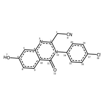 N#CCc1nc2cc(O)ccc2c(=O)n1-c1ccc(Cl)cc1